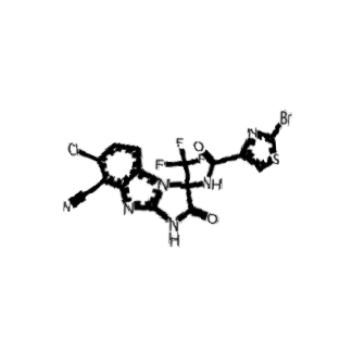 N#Cc1c(Cl)ccc2c1nc1n2C(NC(=O)c2csc(Br)n2)(C(F)(F)F)C(=O)N1